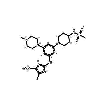 Cc1nc(Nc2nc(N3CCC(NS(C)(=O)=O)CC3)cc(N3CCN(C)CC3)n2)sc1C(=O)O